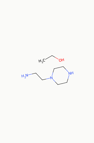 CCO.NCCN1CCNCC1